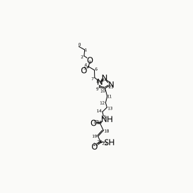 CCCOC(=O)CCn1cc(CCCCNC(=O)/C=C/C(=O)S)nn1